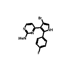 CNc1nccc(-c2c(Br)c[nH]c2-c2ccc(F)cc2)n1